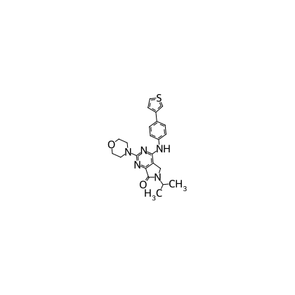 CC(C)N1Cc2c(Nc3ccc(-c4ccsc4)cc3)nc(N3CCOCC3)nc2C1=O